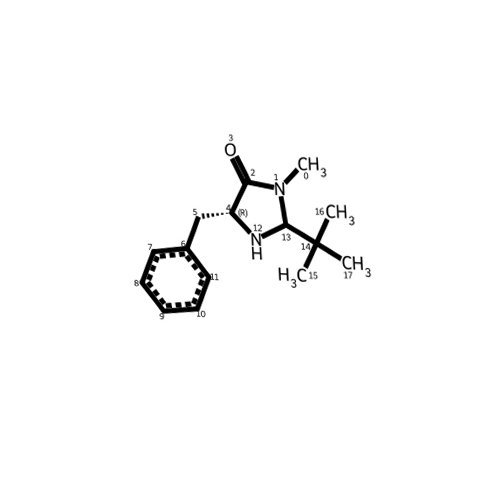 CN1C(=O)[C@@H](Cc2ccccc2)NC1C(C)(C)C